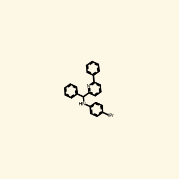 CC(C)c1ccc(NC(c2ccccc2)c2cccc(-c3ccccc3)n2)cc1